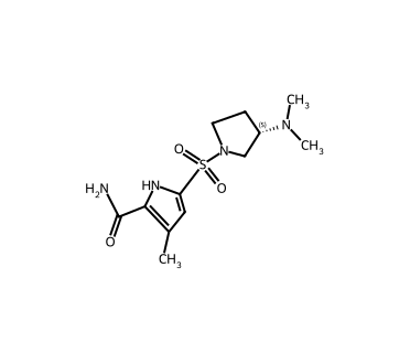 Cc1cc(S(=O)(=O)N2CC[C@H](N(C)C)C2)[nH]c1C(N)=O